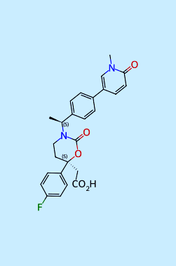 C[C@@H](c1ccc(-c2ccc(=O)n(C)c2)cc1)N1CC[C@](CC(=O)O)(c2ccc(F)cc2)OC1=O